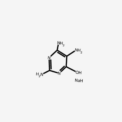 Nc1nc(N)c(N)c(O)n1.[NaH]